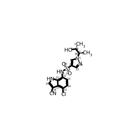 C[C@H]([C@@H](C)O)n1cc(S(=O)(=O)Nc2ccc(Cl)c3c(C#N)c[nH]c23)cn1